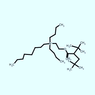 CCCCCCCC[N+](CCCC)(CCCC)CCOC(=O)C(CC(C)(C)C)C(C)(C)C